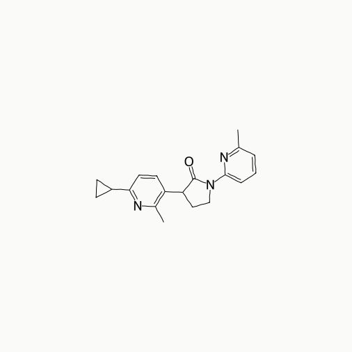 Cc1cccc(N2CCC(c3ccc(C4CC4)nc3C)C2=O)n1